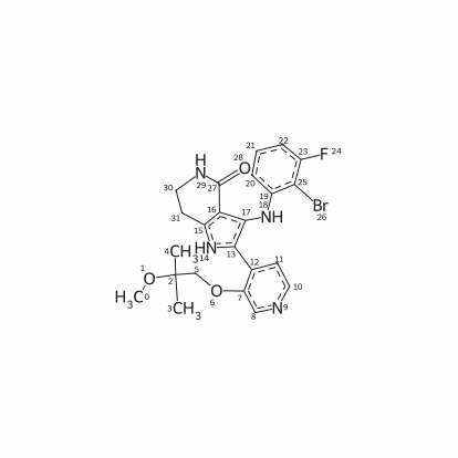 COC(C)(C)COc1cnccc1-c1[nH]c2c(c1Nc1cccc(F)c1Br)C(=O)NCC2